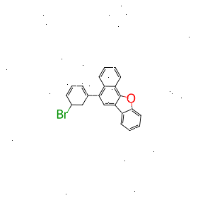 BrC1C=CC=C(c2cc3c4ccccc4oc3c3ccccc23)C1